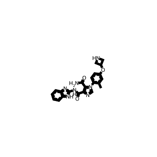 Cc1cc(OC2CNC2)ccc1-n1cnc(C(=O)Nc2nc3ccccc3[nH]2)c1C(N)=O